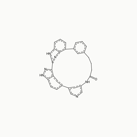 O=C1CCCc2cccc(c2)-c2cccc3[nH]c(nc23)-c2n[nH]c3ccc(cc23)-c2cncc(c2)N1